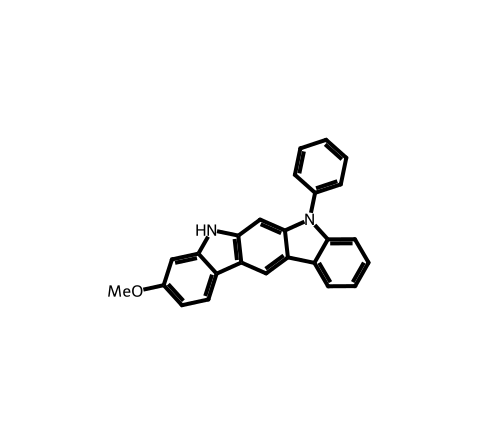 COc1ccc2c(c1)[nH]c1cc3c(cc12)c1ccccc1n3-c1ccccc1